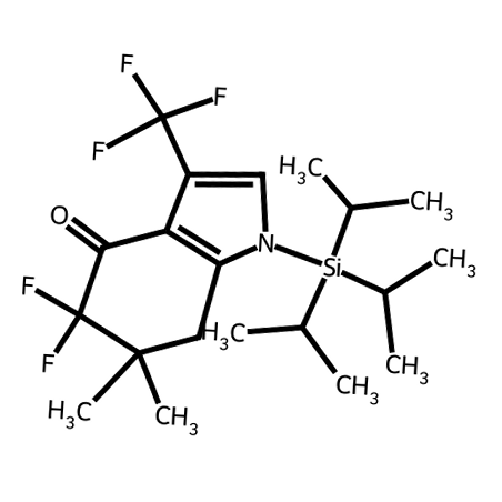 CC(C)[Si](C(C)C)(C(C)C)n1cc(C(F)(F)F)c2c1CC(C)(C)C(F)(F)C2=O